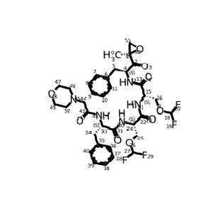 C[C@]1(C(=O)[C@H](Cc2ccccc2)NC(=O)[C@H](COC(F)F)NC(=O)[C@H](COC(F)F)NC(=O)[C@H](Cc2ccccc2)NC(=O)CN2CCOCC2)CO1